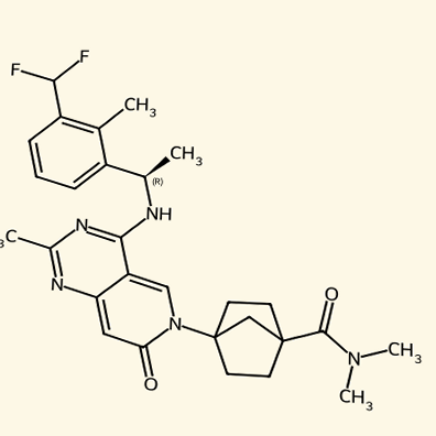 Cc1nc(N[C@H](C)c2cccc(C(F)F)c2C)c2cn(C34CCC(C(=O)N(C)C)(CC3)C4)c(=O)cc2n1